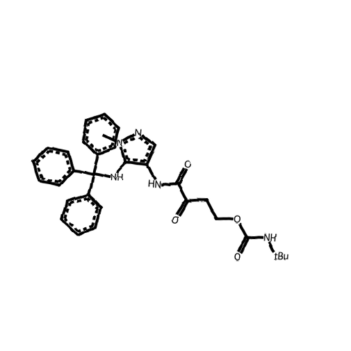 Cn1ncc(NC(=O)C(=O)CCOC(=O)NC(C)(C)C)c1NC(c1ccccc1)(c1ccccc1)c1ccccc1